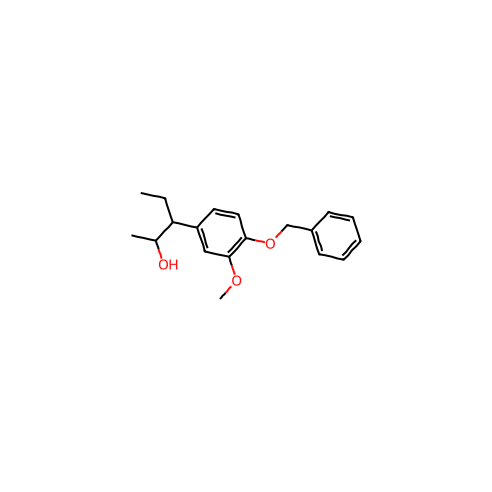 CCC(c1ccc(OCc2ccccc2)c(OC)c1)C(C)O